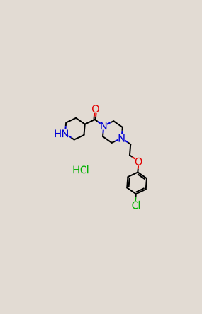 Cl.O=C(C1CCNCC1)N1CCN(CCOc2ccc(Cl)cc2)CC1